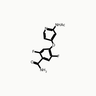 CC(=O)Nc1cc(Oc2cc(F)c(C(N)=O)cc2F)ccn1